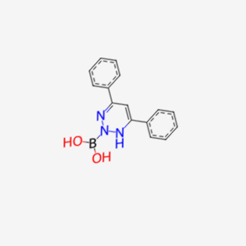 OB(O)N1N=C(c2ccccc2)C=C(c2ccccc2)N1